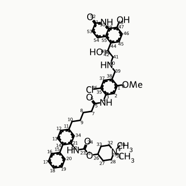 COc1cc(NC(=O)CCCCc2ccc(-c3ccccc3)c(NC(=O)OC3CC[N+](C)(C)CC3)c2)c(Cl)cc1CNC[C@H](O)c1ccc(O)c2[nH]c(=O)ccc12